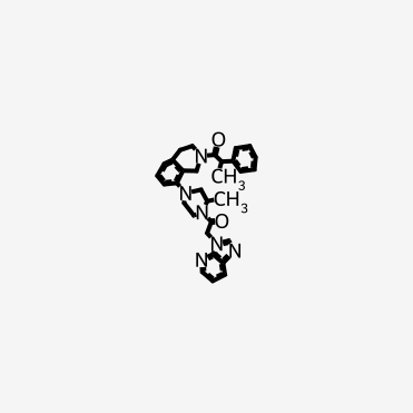 CC(C(=O)N1CCc2cccc(N3CCN(C(=O)Cn4cnc5cccnc54)C(C)C3)c2C1)c1ccccc1